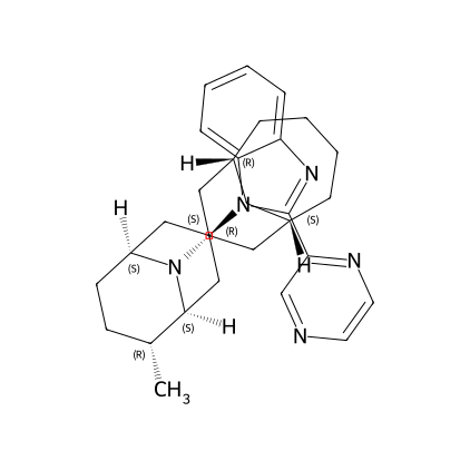 C[C@@H]1CC[C@H]2C[C@@H](n3c(-c4cnccn4)nc4ccccc43)C[C@@H]1N2[C@@H]1C[C@@H]2CCCC[C@@H](C2)C1